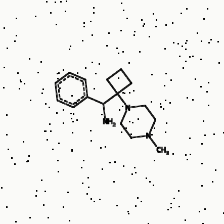 CN1CCN(C2(C(N)c3ccccc3)CCC2)CC1